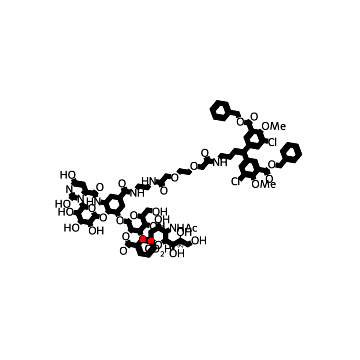 COc1c(Cl)cc(C(=CCCNC(=O)COCCOCC(=O)NCCNC(=O)C2CC(NC(=O)c3cc(O)nc(O)n3)C(OC3OC(C)C(O)C(O)C3O)C(OC3OC(CO)C(O)C(OC4(C(=O)O)CC(O)C(NC(C)=O)C([C@H](O)[C@H](O)CO)O4)C3OC(=O)c3ccccc3)C2)c2cc(Cl)c(OC)c(C(=O)OCc3ccccc3)c2)cc1C(=O)OCc1ccccc1